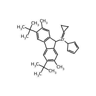 Cc1cc2c(cc1C(C)(C)C)-c1cc(C(C)(C)C)c(C)cc1[CH]2[Zr](=[C]1CC1)[CH]1C=CC=C1